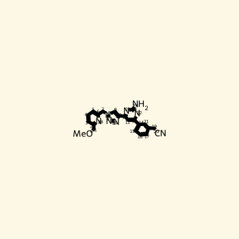 COCc1cccc(Cn2cc(-c3cc(-c4cccc(CC#N)c4)nc(N)n3)nn2)n1